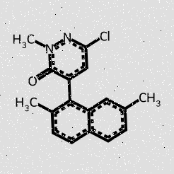 Cc1ccc2ccc(C)c(-c3cc(Cl)nn(C)c3=O)c2c1